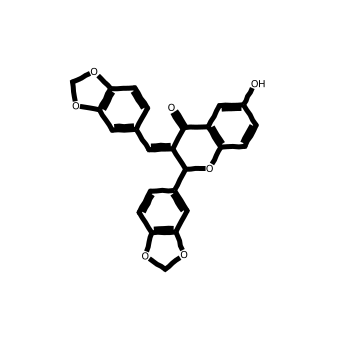 O=C1/C(=C\c2ccc3c(c2)OCO3)C(c2ccc3c(c2)OCO3)Oc2ccc(O)cc21